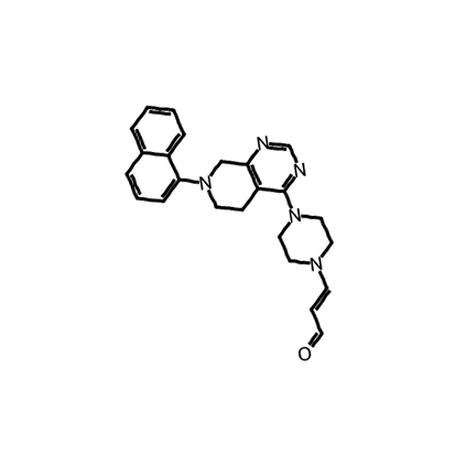 O=CC=CN1CCN(c2ncnc3c2CCN(c2cccc4ccccc24)C3)CC1